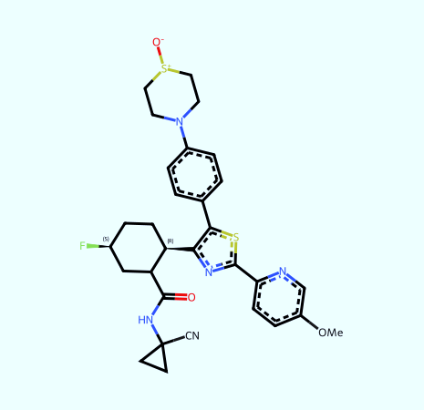 COc1ccc(-c2nc([C@@H]3CC[C@H](F)CC3C(=O)NC3(C#N)CC3)c(-c3ccc(N4CC[S+]([O-])CC4)cc3)s2)nc1